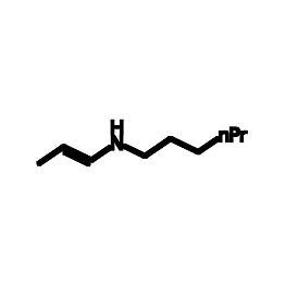 CC=CNCCCCCC